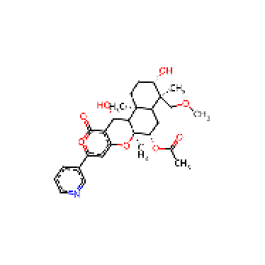 COC[C@@]1(C)C2C[C@H](OC(C)=O)[C@@]3(C)Oc4cc(-c5cccnc5)oc(=O)c4[C@H](O)C3[C@@]2(C)CC[C@@H]1O